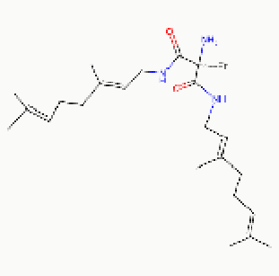 CCC(N)(C(=O)NC/C=C(\C)CCC=C(C)C)C(=O)NC/C=C(\C)CCC=C(C)C